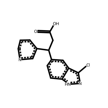 O=C(O)CC(c1cccnc1)c1ccc2[nH]nc(Cl)c2c1